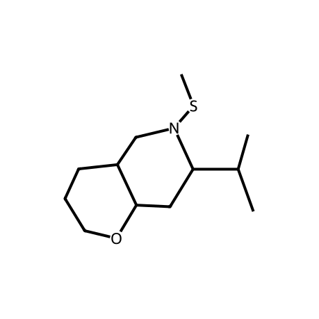 CSN1CC2CCCOC2CC1C(C)C